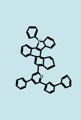 C1=CC2c3c(c4ccccc4c4cc(-c5cc(-c6ccccc6)cc(-c6cccc(-c7ccccc7)c6)n5)c5ccccc5c34)N(c3ccccc3)C2C=C1